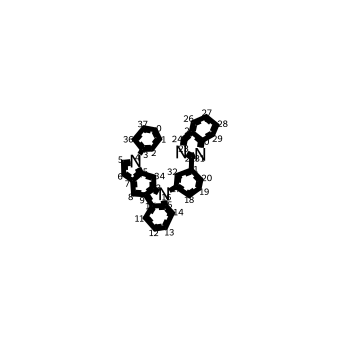 c1ccc(-n2ccc3cc4c5ccccc5n(-c5cccc(-c6ncc7ccccc7n6)c5)c4cc32)cc1